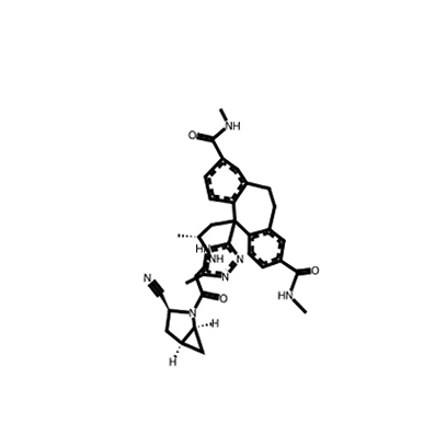 CNC(=O)c1ccc2c(c1)CCc1cc(C(=O)NC)ccc1C2(C[C@@H](C)NCC(=O)N1[C@H](C#N)C[C@@H]2C[C@@H]21)c1nnc(C)[nH]1